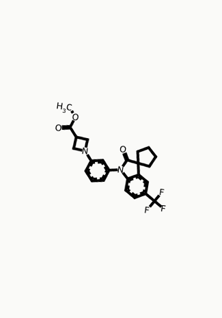 COC(=O)C1CN(c2cccc(N3C(=O)C4(CCCC4)c4cc(C(F)(F)F)ccc43)c2)C1